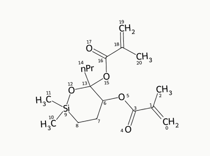 C=C(C)C(=O)OC1CC[Si](C)(C)OC1(CCC)OC(=O)C(=C)C